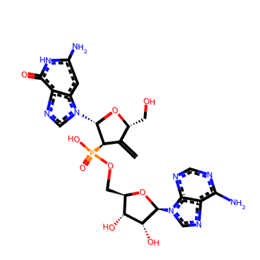 C=C1[C@@H](P(=O)(O)OC[C@H]2O[C@@H](n3cnc4c(N)ncnc43)[C@H](O)[C@@H]2O)[C@H](n2cnc3c(=O)[nH]c(N)cc32)O[C@@H]1CO